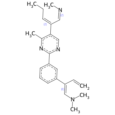 C=C/C(=C\N(C)C)c1cccc(-c2ncc(C(/C=N\C)=C/CC)c(C)n2)c1